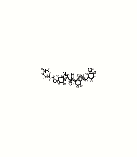 CN1CCN(CCOc2ccn3c(C(=O)Nc4cccc5c4cnn5Cc4cccc(C(F)(F)F)c4)cnc3c2)CC1